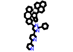 C1=Cc2ccc(-c3cc(-c4ccc(-c5cccnc5)nc4)nc(-c4ccccc4)n3)cc2C2(c3ccccc31)c1ccccc1-c1c2cc2ccc3cccc4ccc1c2c34